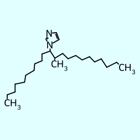 CCCCCCCCCCC(C)C(CCCCCCCCCC)n1ccnc1